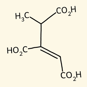 CC(C(=O)O)/C(=C/C(=O)O)C(=O)O